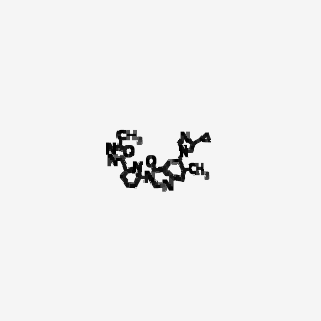 Cc1nnc(-c2cccc(-n3cnc4cc(C)c(-n5cnc(C6CC6)c5)cc4c3=O)n2)o1